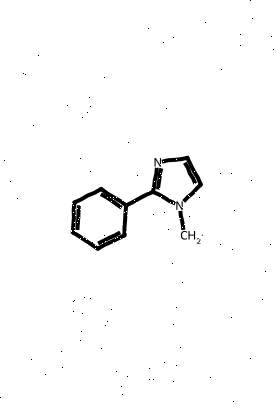 [CH2]n1ccnc1-c1ccccc1